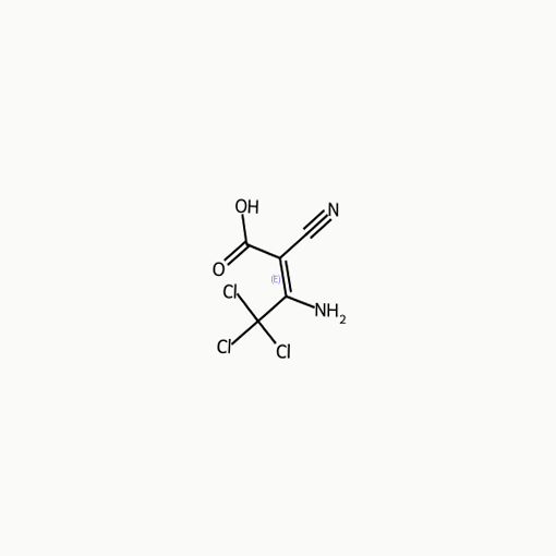 N#C/C(C(=O)O)=C(\N)C(Cl)(Cl)Cl